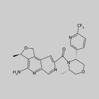 C[C@H]1OCc2c1c(N)nc1cnc(C(=O)N3[C@@H](C)COC[C@H]3c3ccc(C(F)(F)F)nc3)cc21